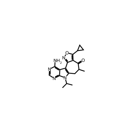 CC1Cc2c(c3c(N)ncnc3n2C(C)C)-c2noc(C3CC3)c2C1=O